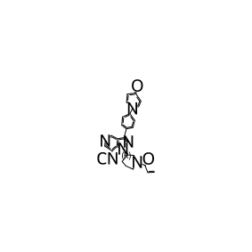 C=CC(=O)N1CCC[C@@H](n2nc(-c3ccc(-n4ccc(=O)cc4)cc3)c3cncc(C#N)c32)C1